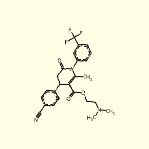 CC1=C(C(=O)OCCN(C)C)C(c2ccc(C#N)cc2)CC(=O)N1c1cccc(C(F)(F)F)c1